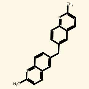 Cc1ccc2cc(Cc3ccc4nc(C)ccc4c3)ccc2n1